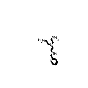 NCCN(CCN)CCNCc1ccccn1